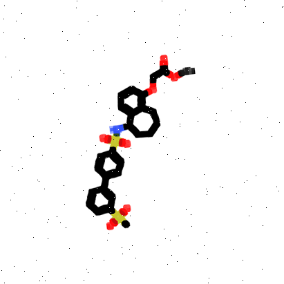 CC(C)(C)OC(=O)COc1cccc2c1CCCCC2NS(=O)(=O)c1ccc(-c2cccc(S(C)(=O)=O)c2)cc1